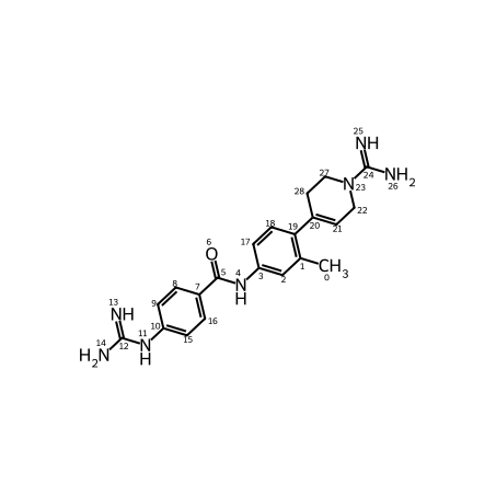 Cc1cc(NC(=O)c2ccc(NC(=N)N)cc2)ccc1C1=CCN(C(=N)N)CC1